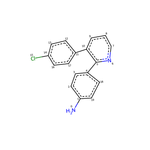 Nc1ccc(-c2ncccc2-c2ccc(Cl)cc2)cc1